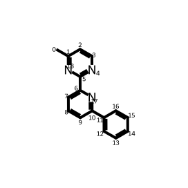 Cc1ccnc(-c2cccc(-c3ccccc3)n2)n1